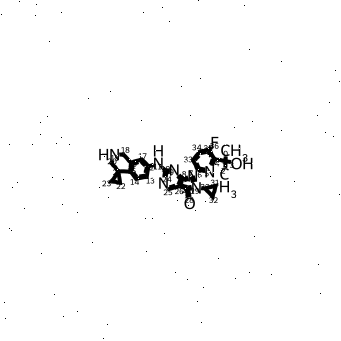 CC(C)(O)c1nc(-n2c3nc(Nc4ccc5c(c4)CNCC54CC4)ncc3c(=O)n2C2CC2)ccc1F